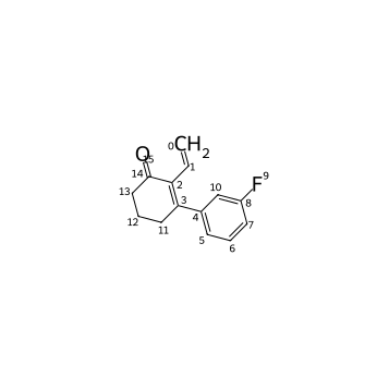 C=CC1=C(c2cccc(F)c2)CCCC1=O